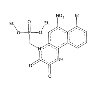 CCOP(=O)(Cn1c(=O)c(=O)[nH]c2c3cccc(Br)c3c([N+](=O)[O-])cc21)OCC